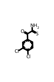 NC(=S)C(=O)c1ccc(Cl)c(Cl)c1